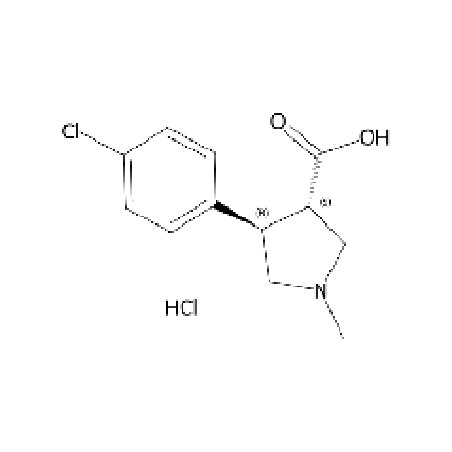 CN1C[C@@H](C(=O)O)[C@H](c2ccc(Cl)cc2)C1.Cl